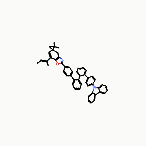 C/C=C(\C)C1=CC2(Cc3nc(-c4ccc(-c5ccccc5-c5ccccc5-c5ccc(-n6c7ccccc7c7ccccc76)cc5)cc4)oc31)CC2(C)C